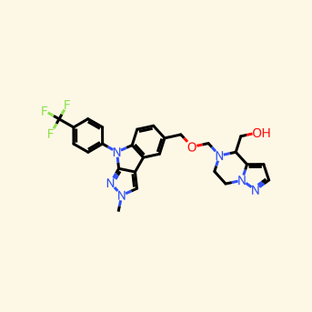 Cn1cc2c3cc(COCN4CCn5nccc5C4CO)ccc3n(-c3ccc(C(F)(F)F)cc3)c2n1